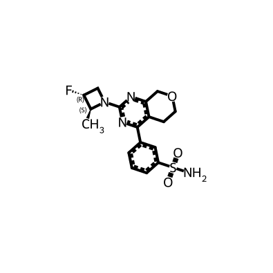 C[C@H]1[C@H](F)CN1c1nc2c(c(-c3cccc(S(N)(=O)=O)c3)n1)CCOC2